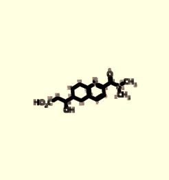 CN(C)C(=O)c1ccc2c(n1)CCC(C(O)CC(=O)O)C2